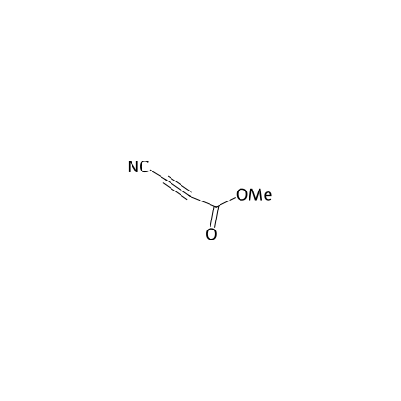 COC(=O)C#CC#N